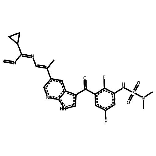 C=N/C(=N\C=C(/C)c1cnc2[nH]cc(C(=O)c3cc(F)cc(NS(=O)(=O)N(C)C)c3F)c2c1)C1CC1